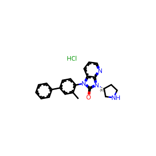 Cc1cc(-c2ccccc2)ccc1-n1c(=O)n([C@@H]2CCNC2)c2ncccc21.Cl